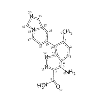 Cc1ccc2c(N)c(C(N)=O)nnc2c1-c1ccn2cncc2c1